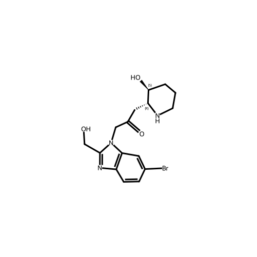 O=C(C[C@H]1NCCC[C@@H]1O)Cn1c(CO)nc2ccc(Br)cc21